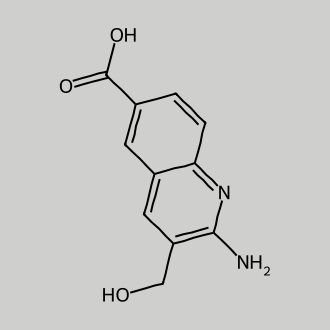 Nc1nc2ccc(C(=O)O)cc2cc1CO